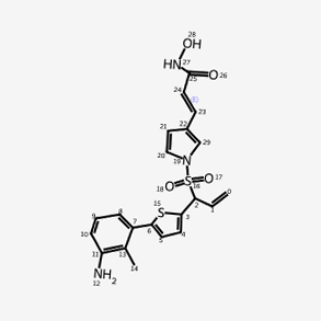 C=CC(c1ccc(-c2cccc(N)c2C)s1)S(=O)(=O)n1ccc(/C=C/C(=O)NO)c1